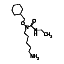 CCNC(=O)N(CCCCCN)OCC1CCCCC1